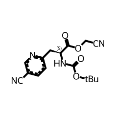 CC(C)(C)OC(=O)N[C@@H](Cc1ccc(C#N)cn1)C(=O)OCC#N